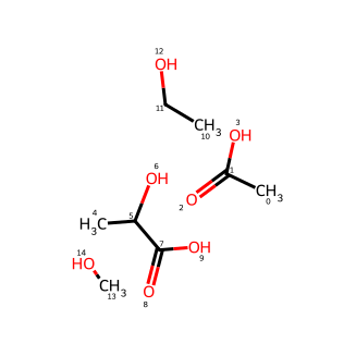 CC(=O)O.CC(O)C(=O)O.CCO.CO